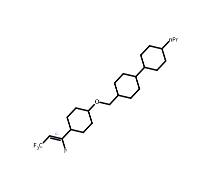 CCCC1CCC(C2CCC(COC3CCC(/C(F)=C/C(F)(F)F)CC3)CC2)CC1